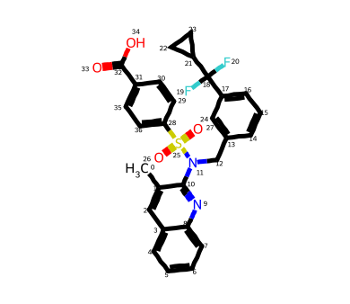 Cc1cc2ccccc2nc1N(Cc1cccc(C(F)(F)C2CC2)c1)S(=O)(=O)c1ccc(C(=O)O)cc1